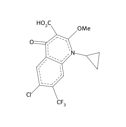 COc1c(C(=O)O)c(=O)c2cc(Cl)c(C(F)(F)F)cc2n1C1CC1